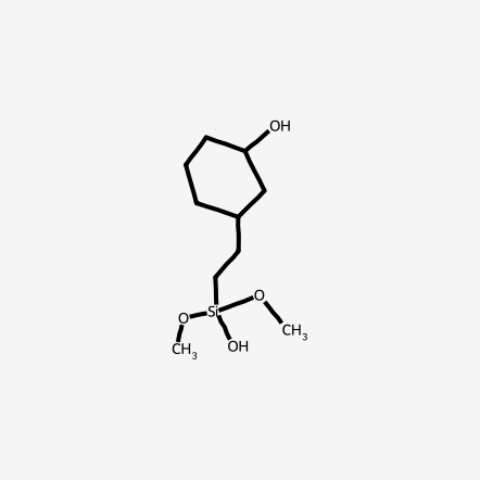 CO[Si](O)(CCC1CCCC(O)C1)OC